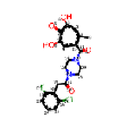 Cc1cc(O)c(=O)c(O)cc1C(=O)N1CCN(C(=O)Cc2c(F)cccc2Cl)CC1